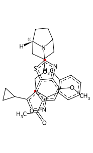 COc1cc(C(C)=O)cc2sc(N3C4CC[C@H]3CC(OCc3c(-c5ccccc5C)noc3C3CC3)C4)nc12